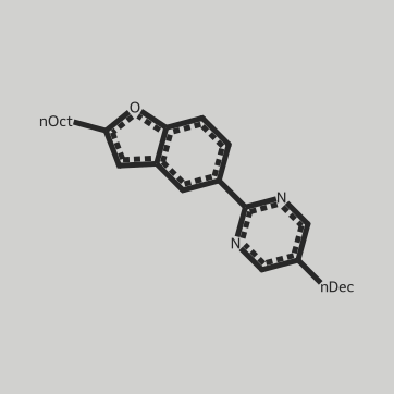 CCCCCCCCCCc1cnc(-c2ccc3oc(CCCCCCCC)cc3c2)nc1